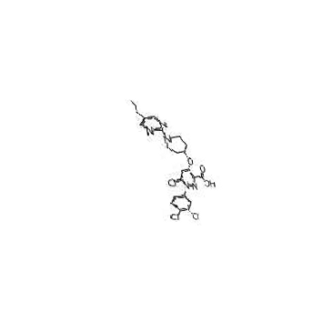 CCCc1cnc(N2CCC(Oc3cc(=O)n(-c4ccc(Cl)c(Cl)c4)nc3C(=O)O)CC2)nc1